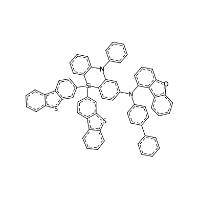 c1ccc(-c2ccc(N(c3ccc4c(c3)N(c3ccccc3)c3ccccc3[Si]4(c3ccc4c(c3)sc3ccccc34)c3ccc4c(c3)sc3ccccc34)c3cccc4oc5ccccc5c34)cc2)cc1